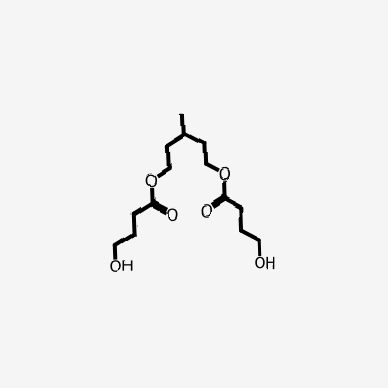 CC(CCOC(=O)CCCO)CCOC(=O)CCCO